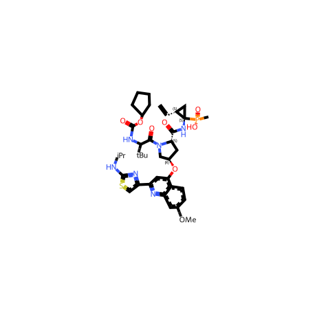 C=C[C@@H]1C[C@]1(NC(=O)[C@@H]1C[C@@H](Oc2cc(-c3csc(NC(C)C)n3)nc3cc(OC)ccc23)CN1C(=O)C(NC(=O)OC1CCCC1)C(C)(C)C)P(C)(=O)O